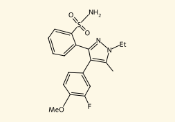 CCn1nc(-c2ccccc2S(N)(=O)=O)c(-c2ccc(OC)c(F)c2)c1C